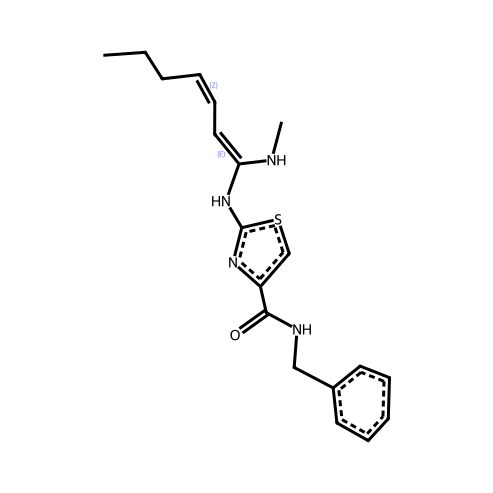 CCC/C=C\C=C(/NC)Nc1nc(C(=O)NCc2ccccc2)cs1